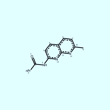 [CH2]CCC(=O)Nc1ccc2ccc(C)nc2n1